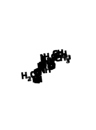 C=C/C=C\C(=C/Cn1nccn1)Nc1cc(N[C@@H]2CCCC[C@@H]2NCOC(C)(C)C)c(C#N)cn1